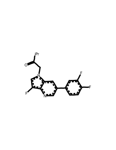 CC(C)C(=O)Cn1cc(F)c2ncc(-c3ccc(F)c(F)c3)cc21